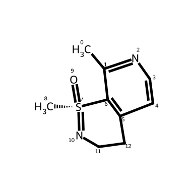 Cc1nccc2c1[S@](C)(=O)=NCC2